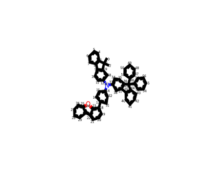 CC1(C)c2ccccc2-c2ccc(N(c3ccc(-c4cccc5c4oc4ccccc45)cc3)c3ccc4c(c3)-c3ccccc3C4(c3ccccc3)c3ccccc3)cc21